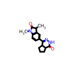 CC1C(=O)N(C)c2ccc(C3=NNC(=O)C4CCCC34)cc21